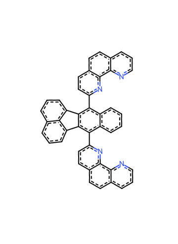 c1cc2c3c(cccc3c1)-c1c-2c(-c2ccc3ccc4cccnc4c3n2)c2ccccc2c1-c1ccc2ccc3cccnc3c2n1